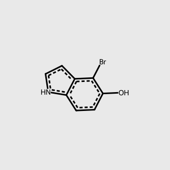 Oc1ccc2[nH]ccc2c1Br